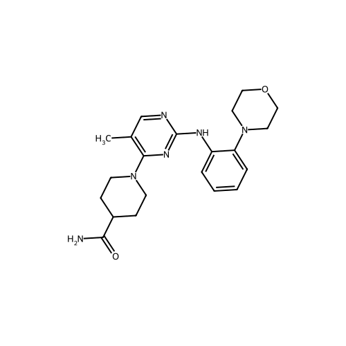 Cc1cnc(Nc2ccccc2N2CCOCC2)nc1N1CCC(C(N)=O)CC1